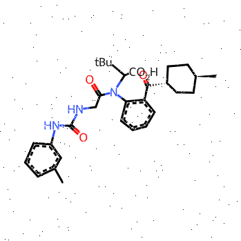 Cc1cccc(NC(=O)NCC(=O)N(c2ccccc2C(=O)[C@H]2CC[C@H](C)CC2)C(C(=O)O)C(C)(C)C)c1